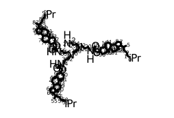 CC(C)CCCC(C)C1CCC2C3CC=C4CC(OC(=O)NCCCN(CCCN)CCCN(CCCNC(=O)OC5CCC6(C)C(=CCC7C6CCC6(C)C(C(C)CCCC(C)C)CCC76)C5)CCCNC(=O)OC5CCC6(C)C(=CCC7C6CCC6(C)C(C(C)CCCC(C)C)CCC76)C5)CCC4(C)C3CCC12C